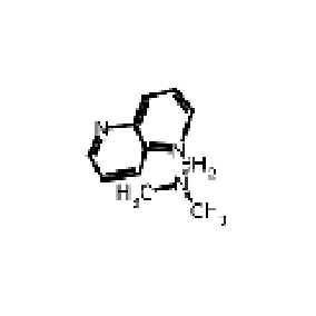 BN(C)C.c1cnc2cccnc2c1